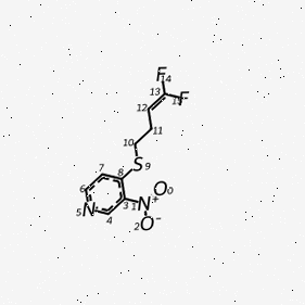 O=[N+]([O-])c1cnccc1SCCC=C(F)F